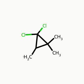 [CH2]C1C(C)(C)C1(Cl)Cl